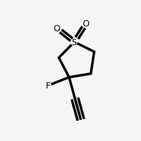 C#CC1(F)CCS(=O)(=O)C1